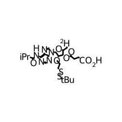 [2H]CC1OC(n2cnc3c(NC(=O)C(C)C)ncnc32)C(OCCSSC(C)(C)C)C1OC(=O)CCC(=O)O